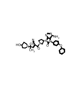 CC(C)(C=C(C#N)C(=O)N1CC[C@H](n2c(=O)n(-c3ccc(Oc4ccccc4)cc3)c3c(N)ncnc32)C1)N1CCC(O)CC1